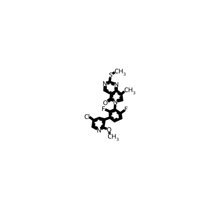 COc1ncc(Cl)cc1-c1ccc(F)c(-n2cc(C)c3nc(SC)ncc3c2=O)c1F